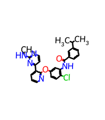 CNc1nccc(-c2cccnc2Oc2ccc(Cl)c(NC(=O)c3cccc(C(C)C)c3)c2)n1